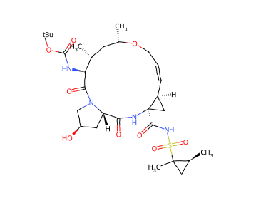 C[C@@H]1C[C@H](C)OC/C=C\[C@H]2C[C@@]2(C(=O)NS(=O)(=O)C2(C)C[C@@H]2C)NC(=O)[C@@H]2C[C@@H](O)CN2C(=O)[C@H]1NC(=O)OC(C)(C)C